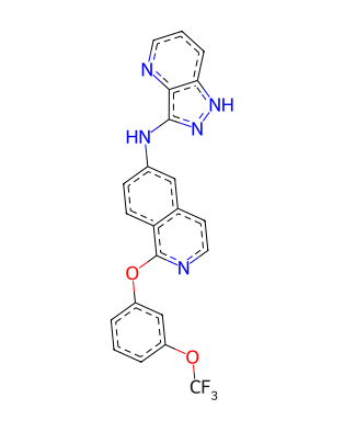 FC(F)(F)Oc1cccc(Oc2nccc3cc(Nc4n[nH]c5cccnc45)ccc23)c1